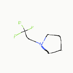 FC(F)(F)CN1C[CH]CC1